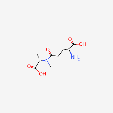 C[C@@H](C(=O)O)N(C)C(=O)CC[C@H](N)C(=O)O